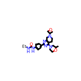 CCNC(=O)Nc1ccc(-c2nc3c(c(N4CCOC(C)C4)n2)CCN(C2COC2)C3)cc1